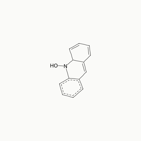 ON1c2ccccc2C=C2C=CC=CC21